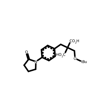 CC(C)(C)OCC(Cc1ccc(N2CCCC2=O)cc1)(C(=O)O)C(=O)O